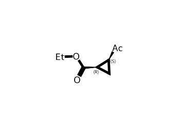 CCOC(=O)[C@@H]1C[C@@H]1C(C)=O